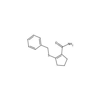 NC(=O)C1=C(SCc2ccccc2)CCC1